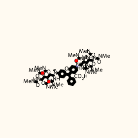 CNC(=O)NCC(NC(=O)NC)C(NC(=O)NC)C(NC(=O)NC)C(NC(=O)NC)/[N+](C)=c1\ccc2c(-c3ccccc3C(=O)O)c3ccc(N(C)C(NC(=O)NC)C(OC(=O)NC)C(NC(=O)NC)C(CNC(=O)NC)OC(=O)NC)cc3oc-2c1